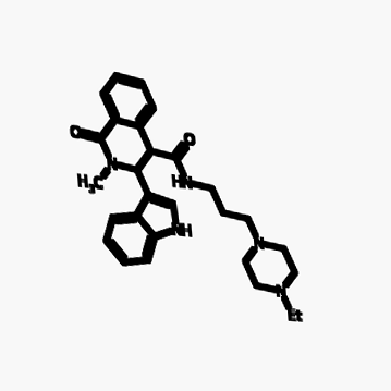 CCN1CCN(CCCNC(=O)C2c3ccccc3C(=O)N(C)C2c2c[nH]c3ccccc23)CC1